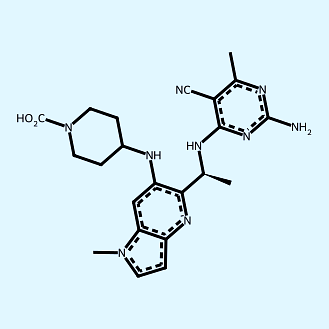 Cc1nc(N)nc(N[C@@H](C)c2nc3ccn(C)c3cc2NC2CCN(C(=O)O)CC2)c1C#N